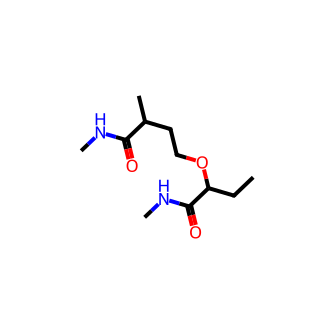 CCC(OCCC(C)C(=O)NC)C(=O)NC